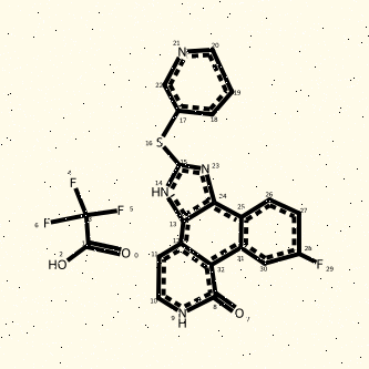 O=C(O)C(F)(F)F.O=c1[nH]ccc2c3[nH]c(Sc4cccnc4)nc3c3ccc(F)cc3c12